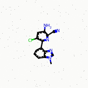 Cn1cnc2c(-c3nc(C#N)c(N)cc3Cl)cccc21